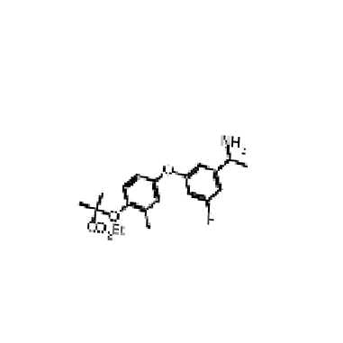 CCOC(=O)C(C)(C)Oc1ccc(Oc2cc(F)cc(C(C)N)c2)cc1C